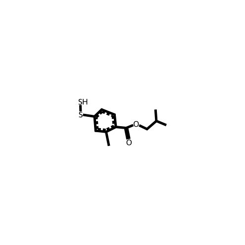 Cc1cc(SS)ccc1C(=O)OCC(C)C